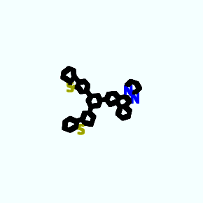 c1ccc2c(c1)sc1cc(-c3cc(-c4ccc5sc6ccccc6c5c4)cc(-c4ccc5c(c4)c4ccccc4c4nc6ccccn6c54)c3)ccc12